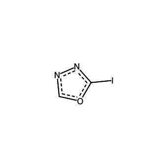 Ic1nnco1